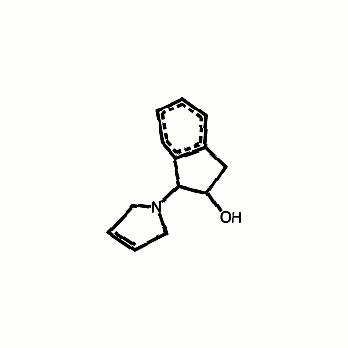 OC1Cc2ccccc2C1N1CC=CC1